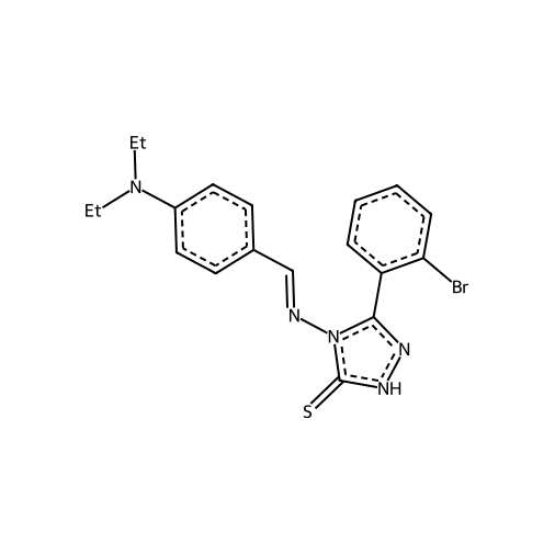 CCN(CC)c1ccc(C=Nn2c(-c3ccccc3Br)n[nH]c2=S)cc1